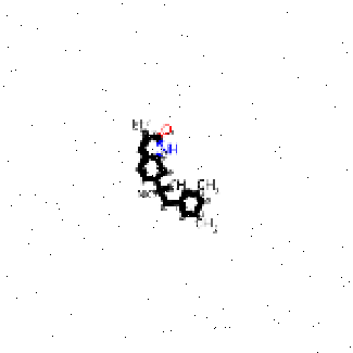 CCc1cc2ccc(C(C)(C#N)Cc3cc(C)cc(C)c3)cc2[nH]c1=O